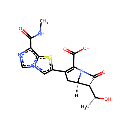 CNC(=O)c1ncn2cc(C3=C(C(=O)O)N4C(=O)[C@H]([C@@H](C)O)[C@H]4C3)sc12